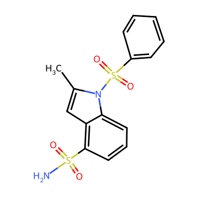 Cc1cc2c(S(N)(=O)=O)cccc2n1S(=O)(=O)c1ccccc1